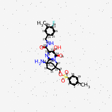 Cc1ccc(S(=O)(=O)OCC23CCC(N)(CC2)c2nc(C(=O)NCc4ccc(F)c(C)c4)c(O)c(=O)n2C3)cc1